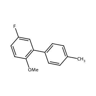 COc1ccc(F)cc1-c1ccc(C)cc1